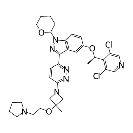 C[C@@H](Oc1ccc2c(c1)c(-c1ccc(N3CC(C)(OCCN4CCCC4)C3)nn1)nn2C1CCCCO1)c1c(Cl)cncc1Cl